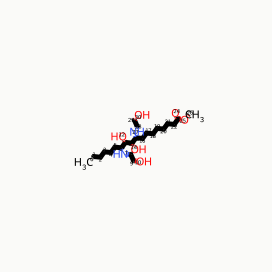 CCCCCCC(NCCO)C(O)C(O)C(CCCCCCCC(=O)OC)NCCO